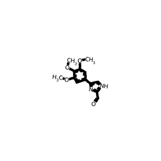 COc1cc(-c2c[nH]c(C=O)n2)cc(OC)c1OC